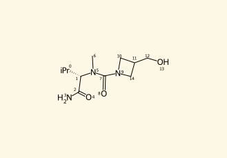 CC(C)[C@@H](C(N)=O)N(C)C(=O)N1CC(CO)C1